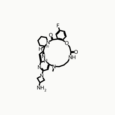 CN1CCCNC(=O)COc2ccc(F)cc2C(=O)N2CCCC[C@H]2c2cc3nc(N4CC(N)C4)cc1n3n2